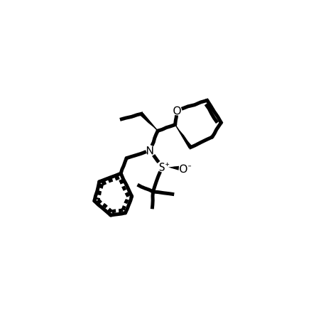 CC[C@@H]([C@@H]1CCC=CO1)N(Cc1ccccc1)[S@@+]([O-])C(C)(C)C